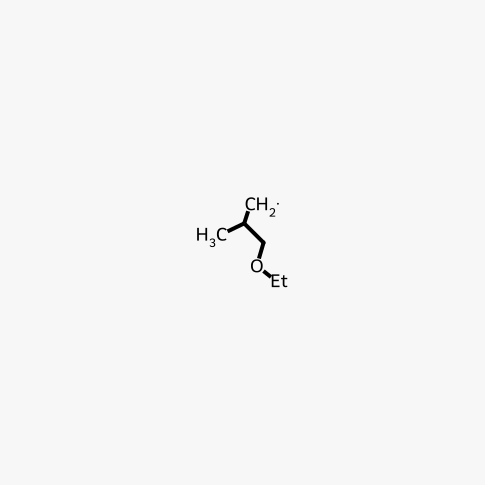 [CH2]C(C)COCC